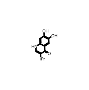 CC(C)c1c[nH]c2cc(O)c(O)cc2c1=O